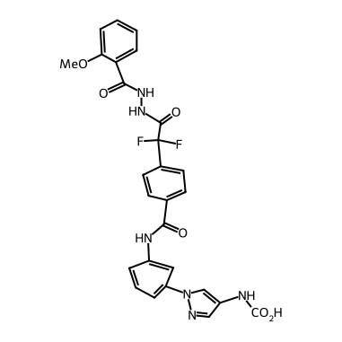 COc1ccccc1C(=O)NNC(=O)C(F)(F)c1ccc(C(=O)Nc2cccc(-n3cc(NC(=O)O)cn3)c2)cc1